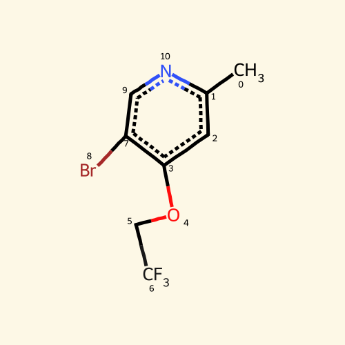 Cc1cc(OCC(F)(F)F)c(Br)cn1